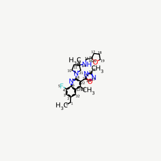 CCc1cc(F)c2nc(N3CC[C@](C)(NC[C@H]4CCCO4)C3)c(-c3nc(C)no3)c(C)c2c1